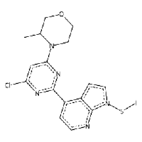 CC1COCCN1c1cc(Cl)nc(-c2ccnc3c2ccn3SI)n1